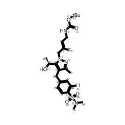 Cc1nn(C/C(F)=C/CNC(=O)OC(C)(C)C)c([C@H](C)O)c1Cc1ccc(S(=O)(=O)N(C)C)c(Cl)c1